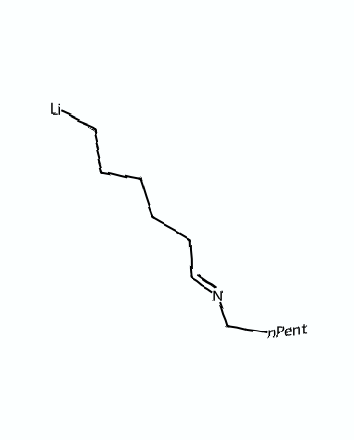 [Li][CH2]CCCCC=NCCCCCC